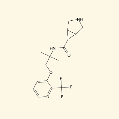 CC(C)(COc1cccnc1C(F)(F)F)NC(=O)C1C2CNCC21